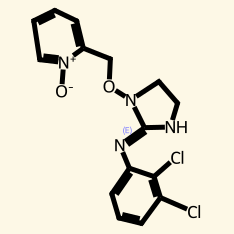 [O-][n+]1ccccc1CON1CCN/C1=N\c1cccc(Cl)c1Cl